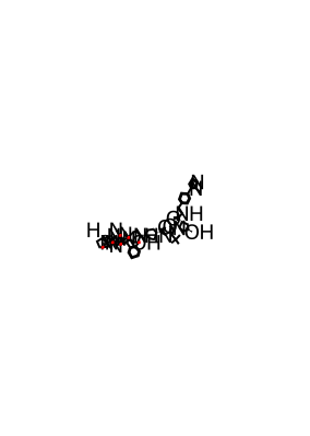 Cn1nccc1-c1ccc(CNC(=O)[C@@H]2C[C@@H](O)CN2C(=O)[C@@H](NC(=O)[C@H]2CC[C@H](N3CCC(c4cnc(N5C6CCC5CN(c5cc(-c7ccccc7O)nnc5N)C6)nc4)CC3)CC2)C(C)(C)C)cc1